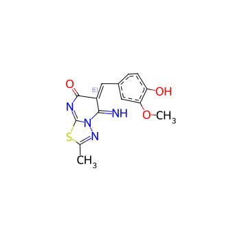 COc1cc(/C=C2\C(=N)N3N=C(C)SC3=NC2=O)ccc1O